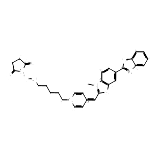 C[n+]1c(C=C2C=CN(CCCCCOON3C(=O)CCC3=O)C=C2)sc2cc(-c3nc4ccccc4s3)ccc21